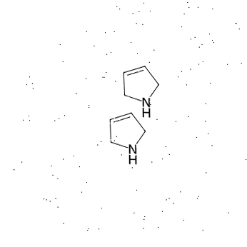 C1=CCNC1.C1=CCNC1